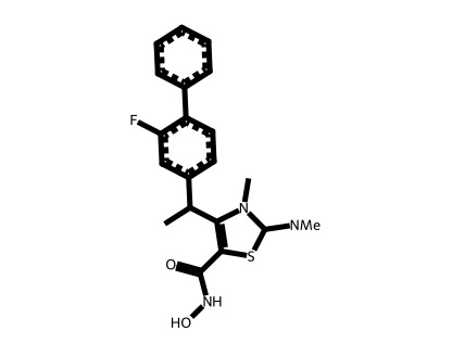 CNC1SC(C(=O)NO)=C(C(C)c2ccc(-c3ccccc3)c(F)c2)N1C